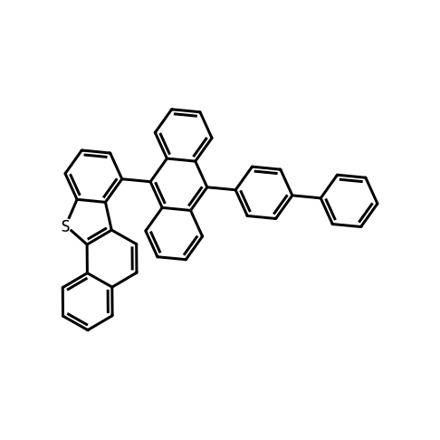 c1ccc(-c2ccc(-c3c4ccccc4c(-c4cccc5sc6c7ccccc7ccc6c45)c4ccccc34)cc2)cc1